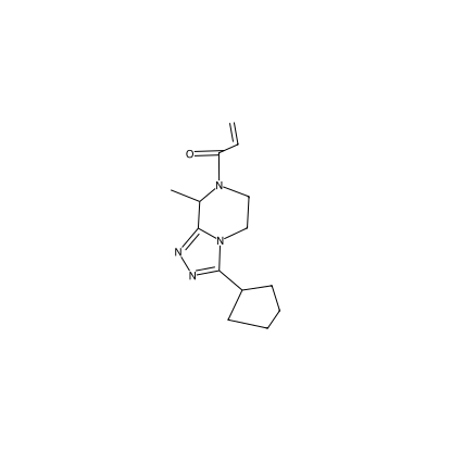 C=CC(=O)N1CCn2c(C3CCCC3)nnc2C1C